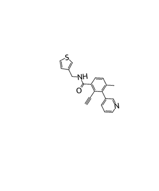 C#Cc1c(C(=O)NCc2ccsc2)ccc(C)c1-c1cccnc1